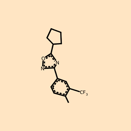 Cc1ccc(-c2noc(C3CCCC3)n2)cc1C(F)(F)F